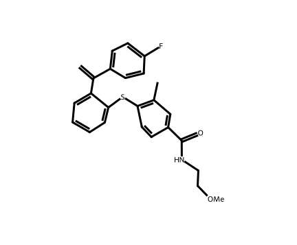 C=C(c1ccc(F)cc1)c1ccccc1Sc1ccc(C(=O)NCCOC)cc1C